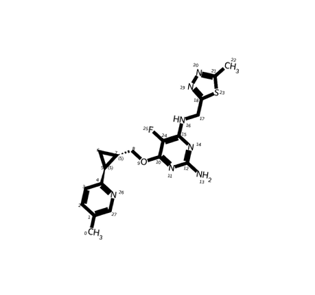 Cc1ccc([C@H]2C[C@@H]2COc2nc(N)nc(NCc3nnc(C)s3)c2F)nc1